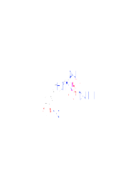 CN1CCC2(C1)OCc1ccc(-c3ccc(C[C@@H](C#N)NC(=O)[C@@H]4CNCCCO4)cc3)cc12